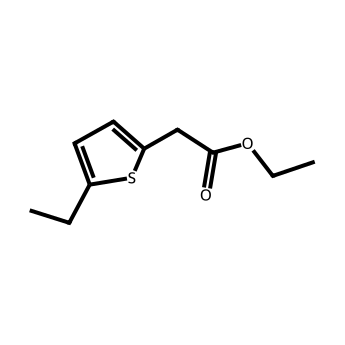 CCOC(=O)Cc1ccc(CC)s1